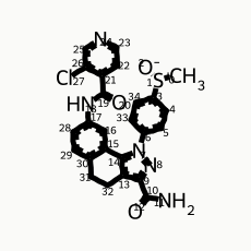 C[S+]([O-])c1ccc(-n2nc(C(N)=O)c3c2-c2cc(NC(=O)c4ccncc4Cl)ccc2CC3)cc1